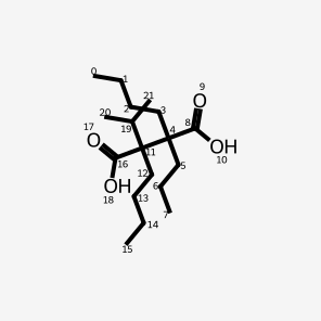 CCCCC(CCC)(C(=O)O)C(CCCC)(C(=O)O)C(C)C